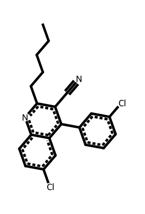 CCCCCc1nc2ccc(Cl)cc2c(-c2cccc(Cl)c2)c1C#N